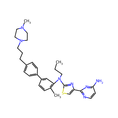 CCCN(c1nc(-c2nccc(N)n2)cs1)c1cc(-c2ccc(CCCN3CCN(C)CC3)cc2)ccc1C